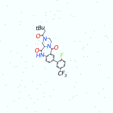 CC(C)(C)CC(=O)N1CCN2C(=O)c3cc(-c4cc(C(F)(F)F)ccc4F)ccc3NC(=O)C2C1